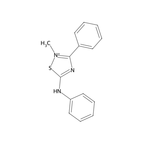 C[n+]1sc(Nc2ccccc2)nc1-c1ccccc1